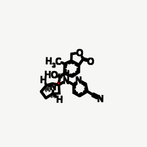 Cc1c([C@H](O)CN2[C@@H]3CC[C@H]2CC(Nc2ccc(C#N)cn2)C3)ccc2c1COC2=O